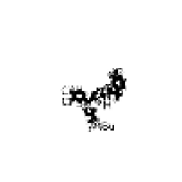 CC(C)(C)[Si](C)(C)OC1=CN([C@@H](c2ccc(Cl)c(Cl)c2)c2cnc(NC(=O)C3(c4ccc5c(c4)OCO5)CC3)s2)CC1